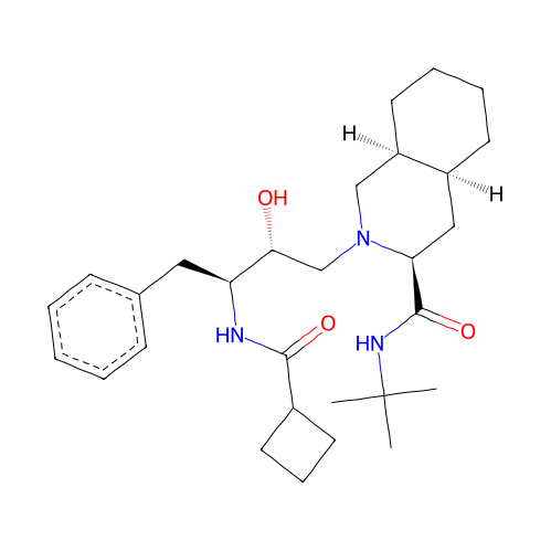 CC(C)(C)NC(=O)[C@@H]1C[C@@H]2CCCC[C@@H]2CN1C[C@@H](O)[C@H](Cc1ccccc1)NC(=O)C1CCC1